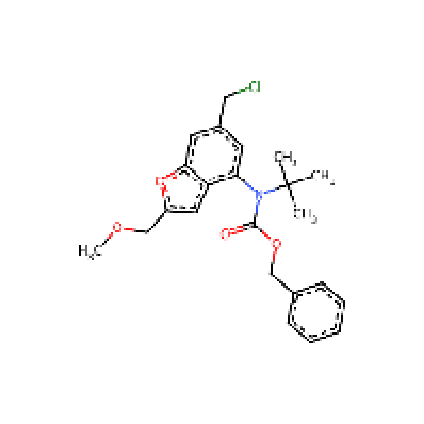 COCc1cc2c(N(C(=O)OCc3ccccc3)C(C)(C)C)cc(CCl)cc2o1